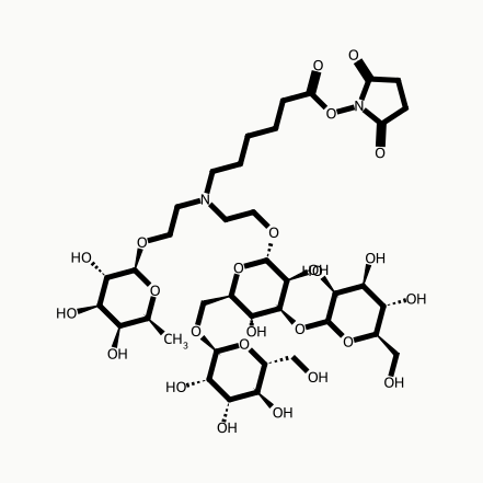 C[C@@H]1O[C@H](OCCN(CCCCCC(=O)ON2C(=O)CCC2=O)CCO[C@H]2O[C@H](CO[C@H]3O[C@H](CO)[C@@H](O)[C@H](O)[C@@H]3O)[C@@H](O)[C@H](OC3O[C@H](CO)[C@@H](O)[C@H](O)[C@@H]3O)[C@@H]2O)[C@@H](O)[C@H](O)[C@@H]1O